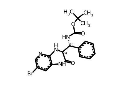 CC(C)(C)OC(=O)N[C@H](c1ccccc1)[C@@H]1Nc2ncc(Br)cc2NC1=O